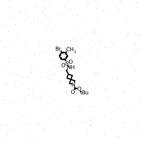 Cc1cc(S(=O)(=O)NCC2CC3(C2)CN(C(=O)OC(C)(C)C)C3)ccc1Br